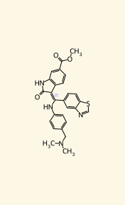 COC(=O)c1ccc2c(c1)NC(=O)/C2=C(\Nc1ccc(CN(C)C)cc1)c1ccc2scnc2c1